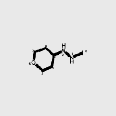 INNC1CCOCC1